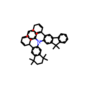 CC1(C)CCC(C)(C)c2cc(N(c3ccccc3)c3cc4c(cc3C3=CCCC=C3)-c3ccccc3C4(C)C)c(C3C=CC=CC3)cc21